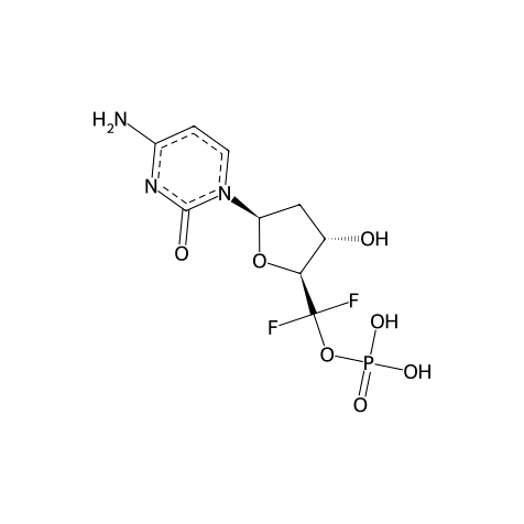 Nc1ccn([C@H]2C[C@H](O)[C@@H](C(F)(F)OP(=O)(O)O)O2)c(=O)n1